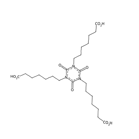 O=C(O)CCCCCCn1c(=O)n(CCCCCCC(=O)O)c(=O)n(CCCCCCC(=O)O)c1=O